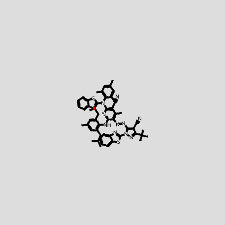 Cc1cc(C)c(N(c2nc3ccccc3s2)c2nc(Nc3c(CC(C)C)cc(C)cc3CC(C)C)c(N=Nc3c(C#N)c(C(C)(C)C)nn3-c3nc4ccccc4s3)c(C)c2C#N)c(C)c1